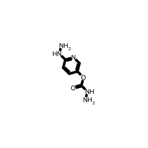 NNC(=O)Oc1ccc(NN)nc1